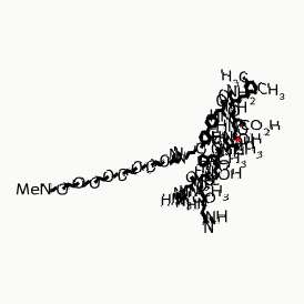 CCc1cc(OCCCCn2cc(COCCOCCOCCOCCOCCOCCOCCOCCNC)nn2)ccc1-c1ccc(CC(NC(=O)C(CC(=O)O)NC(=O)C(CO)NC(=O)C(NC(=O)C(C)(Cc2ccccc2F)NC(=O)C(NC(=O)CNC(=O)C(Cc2nn[nH]n2)NC(=O)C(C)(C)C(=O)NCCc2cnc[nH]2)C(C)O)C(C)O)C(=O)NC(CCCc2cc(C)cc(C)c2)C(N)=O)cc1